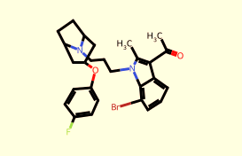 CC(=O)c1c(C)n(CCCN2C3CCC2CC(Oc2ccc(F)cc2)C3)c2c(Br)cccc12